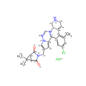 Cc1cc(Cl)cc(-c2ncnn3cc(CN4C(=O)C5C(C4=O)C5(C)C)cc23)c1C1=CCNCC1.Cl